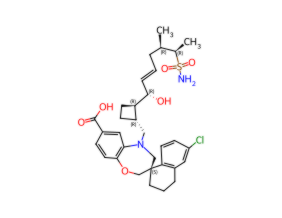 C[C@H](CC=C[C@H](O)[C@@H]1CC[C@H]1CN1C[C@@]2(CCCc3cc(Cl)ccc32)COc2ccc(C(=O)O)cc21)[C@@H](C)S(N)(=O)=O